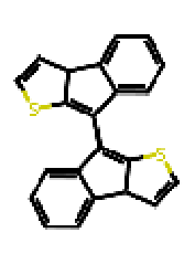 C1=CC2C(=C(C3=C4SC=CC4c4ccccc43)c3ccccc32)S1